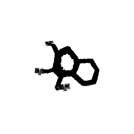 Cc1c(C#N)cc2c(c1C(=O)O)CCCC2